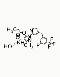 CCC(=O)Oc1c(C(=O)NCCO)c(C)nn1-c1cc(Cc2cc(F)cc(C(F)(F)F)c2)ccn1